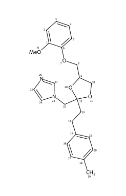 COc1ccccc1OCC1COC(CCc2ccc(C)cc2)(Cn2ccnc2)O1